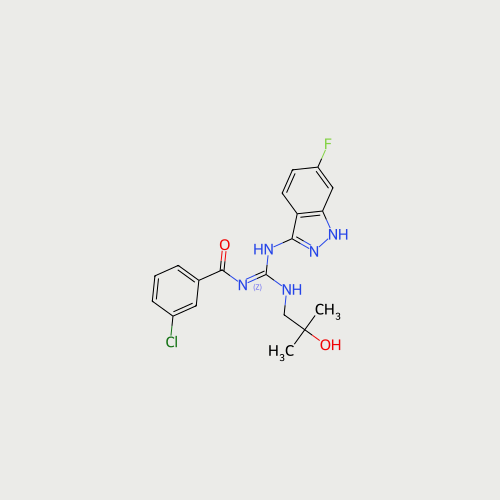 CC(C)(O)CN/C(=N/C(=O)c1cccc(Cl)c1)Nc1n[nH]c2cc(F)ccc12